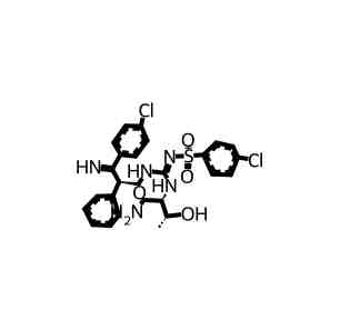 C[C@@H](O)[C@@H](N/C(=N\S(=O)(=O)c1ccc(Cl)cc1)NC[C@H](C(=N)c1ccc(Cl)cc1)c1ccccc1)C(N)=O